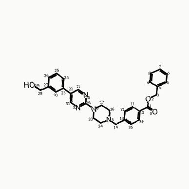 O=C(OCc1ccccc1)c1ccc(CN2CCN(c3ncc(-c4cccc(CO)c4)cn3)CC2)cc1